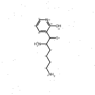 NCCCCC(N)C(=O)c1cccnc1O